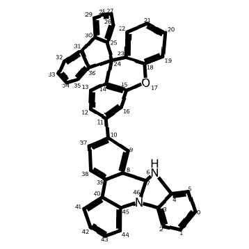 c1ccc2c(c1)NC1c3cc(-c4ccc5c(c4)Oc4ccccc4C54c5ccccc5-c5ccccc54)ccc3-c3ccccc3N21